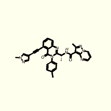 Cc1ccc(-n2c([C@@H](C)NC(=O)c3c(C)nn4cccnc34)nc3cccc(C#Cc4cnn(C)c4)c3c2=O)cc1